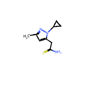 Cc1cc(CC(N)=S)n(C2CC2)n1